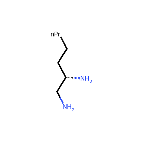 CCCCC[C@H](N)CN